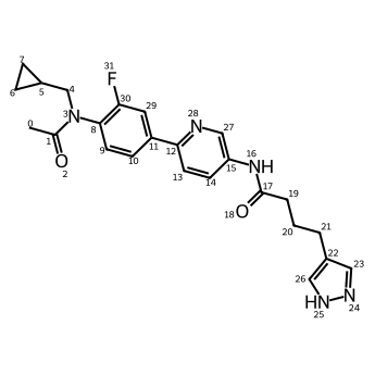 CC(=O)N(CC1CC1)c1ccc(-c2ccc(NC(=O)CCCc3cn[nH]c3)cn2)cc1F